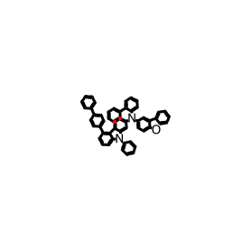 c1ccc(-c2ccc(-c3cccc4c3c3ccc(N(c5ccc6oc7ccccc7c6c5)c5ccccc5-c5ccccc5)cc3n4-c3ccccc3)cc2)cc1